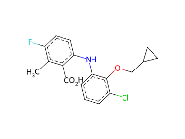 Cc1c(F)ccc(Nc2cccc(Cl)c2OCC2CC2)c1C(=O)O